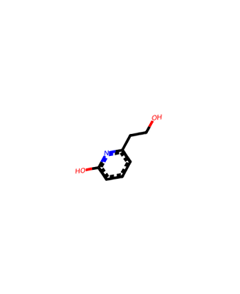 OCCc1cccc(O)n1